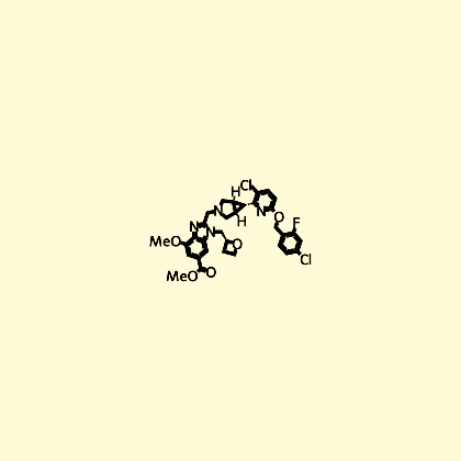 COC(=O)c1cc(OC)c2nc(CN3C[C@@H]4[C@H](C3)[C@H]4c3nc(OCc4ccc(Cl)cc4F)ccc3Cl)n(C[C@@H]3CCO3)c2c1